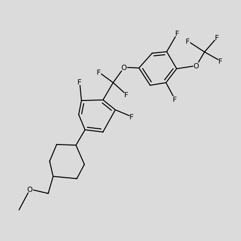 COCC1CCC(c2cc(F)c(C(F)(F)Oc3cc(F)c(OC(F)(F)F)c(F)c3)c(F)c2)CC1